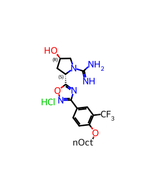 CCCCCCCCOc1ccc(-c2noc([C@@H]3C[C@@H](O)CN3C(=N)N)n2)cc1C(F)(F)F.Cl